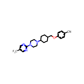 N#Cc1ccc(OCC2CCC(N3CCN(c4ncc(C(F)(F)F)cn4)CC3)CC2)cc1